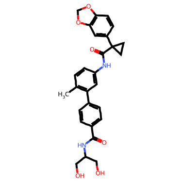 Cc1ccc(NC(=O)C2(c3ccc4c(c3)OCO4)CC2)cc1-c1ccc(C(=O)NC(CO)CO)cc1